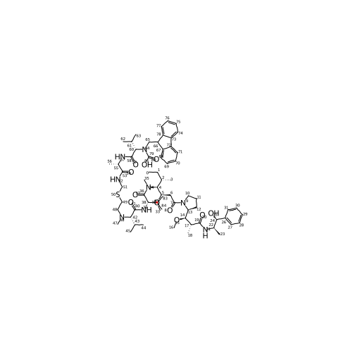 CC[C@H](C)[C@@H]([C@@H](CC(=O)N1CCC[C@H]1[C@H](OC)[C@@H](C)C(=O)N[C@H](C)[C@@H](O)c1ccccc1)OC)N(C)C(=O)[C@@H](NC(=O)[C@H](C(C)C)N(C)CCSCNC(=O)[C@H](C)NC(=O)[C@H](C(C)C)N(CC1c2ccccc2-c2ccccc21)C(=O)O)C(C)C